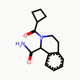 NC(=O)C1c2cc[c]cc2CCN1C(=O)C1CCC1